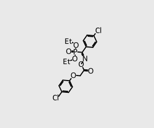 CCOP(=O)(OCC)C(=NOC(=O)COc1ccc(Cl)cc1)c1ccc(Cl)cc1